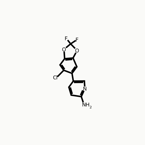 Nc1ccc(-c2cc3c(cc2Cl)OC(F)(F)O3)cn1